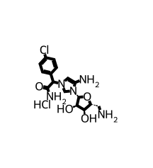 Cl.NC[C@H]1O[C@@H](N2CN(C(C(N)=O)c3ccc(Cl)cc3)C=C2N)[C@H](O)[C@@H]1O